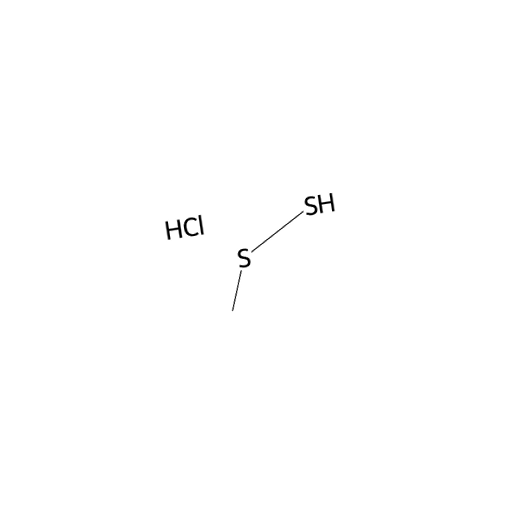 CSS.Cl